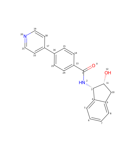 O=C(N[C@H]1c2ccccc2C[C@H]1O)c1ccc(-c2ccncc2)cc1